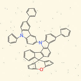 c1ccc(-c2ccc3c(c2)c2cc(-n4c5ccc(-c6ccccc6)cc5c5ccc6c(c54)-c4ccccc4C64c5ccccc5Oc5ccccc54)ccc2n3-c2ccccc2)cc1